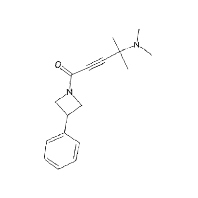 CN(C)C(C)(C)C#CC(=O)N1CC(c2ccccc2)C1